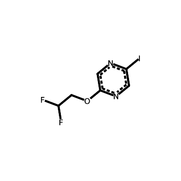 FC(F)COc1cnc(I)cn1